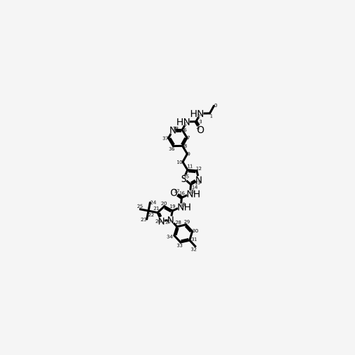 CCNC(=O)Nc1cc(CCc2cnc(NC(=O)Nc3cc(C(C)(C)C)nn3-c3ccc(C)cc3)s2)ccn1